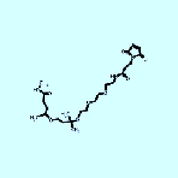 CNC(=O)CCC(C)OCCC(C)(C)OCCOCCOCCNC(=O)CCN1C(=O)C=CC1=O